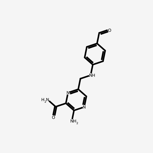 NC(=O)c1nc(CNc2ccc(C=O)cc2)cnc1N